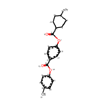 CCCC1CCC(C(=O)Oc2ccc(C(=O)Oc3ccc(C#N)cc3)cc2)CC1